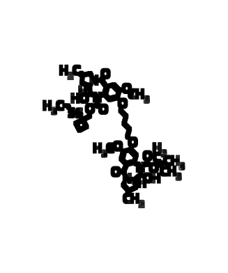 C=C1C[C@H]2C(O)N(C(=O)OCC3(SSCC)CCC3)c3cc(OCCCCCOc4cc5c(cc4OC)C(=O)N4CC(=C)C[C@H]4C(O)N5C(=O)OC(C)(C)C)c(OC)cc3C(=O)N2C1